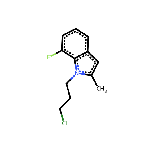 Cc1cc2cccc(F)c2n1CCCCl